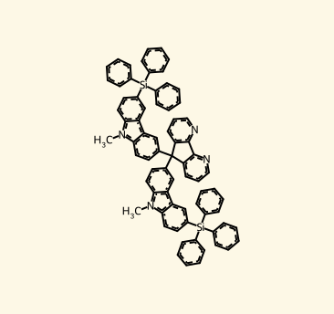 Cn1c2ccc(C3(c4ccc5c(c4)c4cc([Si](c6ccccc6)(c6ccccc6)c6ccccc6)ccc4n5C)c4cccnc4-c4ncccc43)cc2c2cc([Si](c3ccccc3)(c3ccccc3)c3ccccc3)ccc21